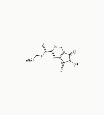 CCCCCCCCCCOC(=O)c1ccc2c(c1)C(=O)N(O)C2=O